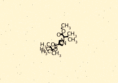 CCOC(=O)C(C(C)C)n1cc(B2OC(C)(C)C(C)(C)O2)cn1